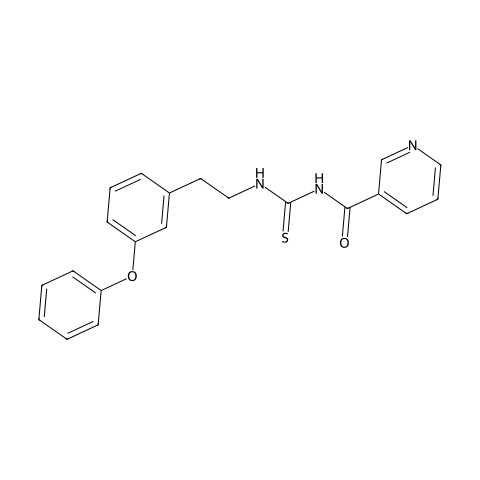 O=C(NC(=S)NCCc1cccc(Oc2ccccc2)c1)c1cccnc1